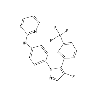 FC(F)(F)c1cccc(-c2c(Br)cnn2-c2ccc(Nc3ncccn3)cc2)c1